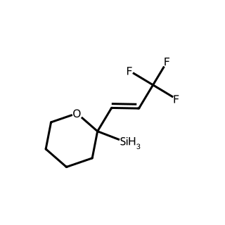 FC(F)(F)C=CC1([SiH3])CCCCO1